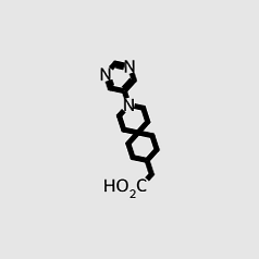 O=C(O)CC1CCC2(CC1)CCN(c1cncnc1)CC2